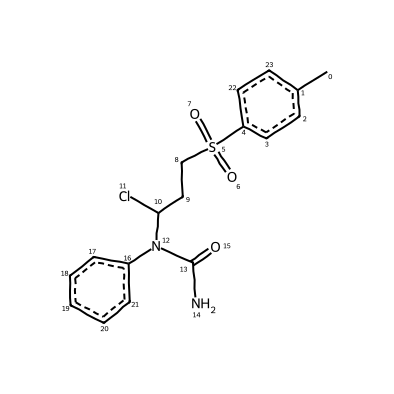 Cc1ccc(S(=O)(=O)CCC(Cl)N(C(N)=O)c2ccccc2)cc1